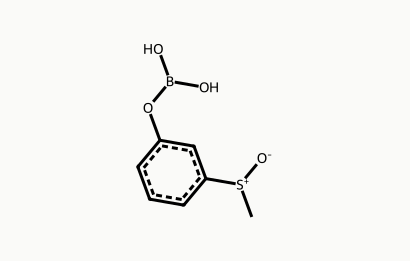 C[S+]([O-])c1cccc(OB(O)O)c1